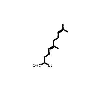 CCC(C=O)CC/C=C(\C)CCC=C(C)C